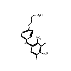 Cc1cc(Nc2ccc(CCCC(=O)O)cc2)c([N+](=O)[O-])c(C)c1C#N